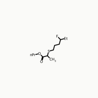 CCCOC(=O)C(C)SCCCC(F)CC